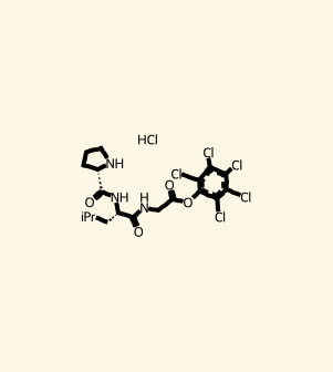 CC(C)C[C@H](NC(=O)[C@@H]1CCCN1)C(=O)NCC(=O)Oc1c(Cl)c(Cl)c(Cl)c(Cl)c1Cl.Cl